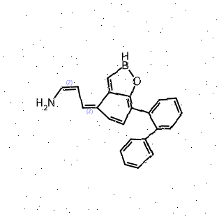 N/C=C\C=c1\ccc(-c2ccccc2-c2ccccc2)c2c1=CBO2